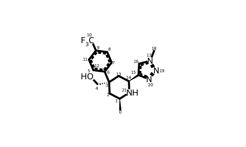 C[C@H]1C[C@@](CO)(c2ccc(C(F)(F)F)cc2)C[C@@H](c2cn(C)nn2)N1